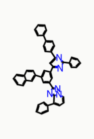 c1ccc(-c2ccc(-c3cc(-c4cc(-c5ccc6ccccc6c5)cc(-c5nc6c(-c7ccccc7)cccn6n5)c4)nc(-c4ccccc4)n3)cc2)cc1